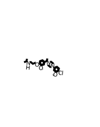 COc1cc(N2CCN(C(C)c3ccc(OCCCNC(C)C)c(OC)c3)CC2)ccc1Cl